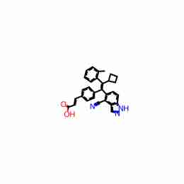 Cc1ccccc1/C(=C(\c1ccc(/C=C/C(=O)O)cc1)c1ccc2[nH]ncc2c1C#N)C1CCC1